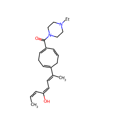 C\C=C/C(O)=C\C=C(C)\C1=C\C/C=C(C(=O)N2CCN(CC)CC2)\C=C/C1